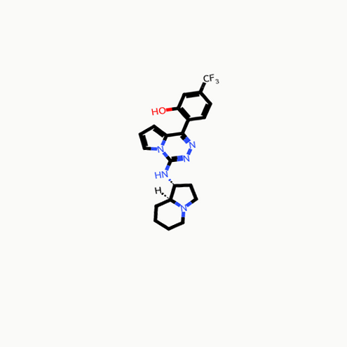 Oc1cc(C(F)(F)F)ccc1-c1nnc(N[C@@H]2CCN3CCCC[C@@H]23)n2cccc12